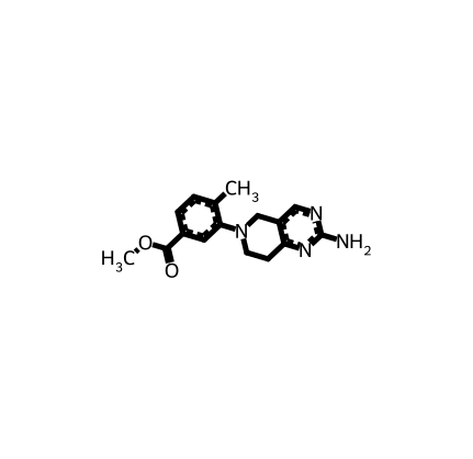 COC(=O)c1ccc(C)c(N2CCc3nc(N)ncc3C2)c1